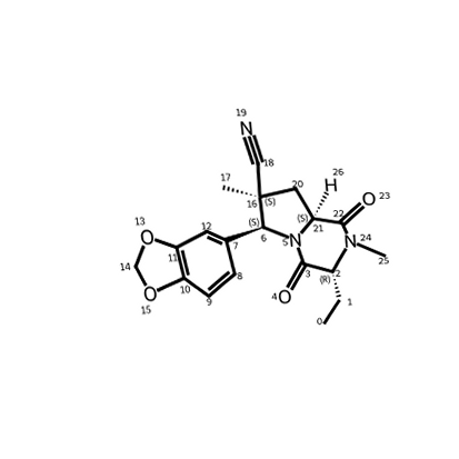 CC[C@@H]1C(=O)N2[C@@H](c3ccc4c(c3)OCO4)[C@@](C)(C#N)C[C@H]2C(=O)N1C